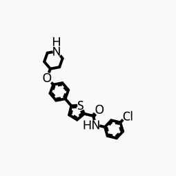 O=C(Nc1cccc(Cl)c1)c1ccc(-c2ccc(OC3CCNCC3)cc2)s1